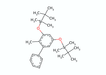 Cc1c(O[Si](C)(C)C(C)(C)C)cc(O[Si](C)(C)C(C)(C)C)cc1-c1ccccc1